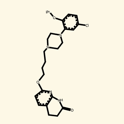 CC(C)Oc1ccc(Cl)cc1N1CCN(CCCCOc2ccc3c(n2)NC(=O)CC3)CC1